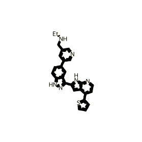 CCNCc1cncc(-c2ccc3[nH]nc(-c4cc5c(-c6cccs6)ccnc5[nH]4)c3c2)c1